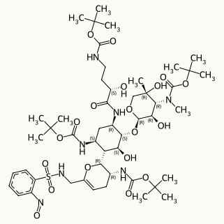 CN(C(=O)OC(C)(C)C)[C@@H]1[C@@H](O)[C@@H](O[C@H]2[C@H](NC(=O)[C@@H](O)CCNC(=O)OC(C)(C)C)C[C@H](NC(=O)OC(C)(C)C)C([C@H]3OC(CNS(=O)(=O)c4ccccc4N=O)=CC[C@H]3NC(=O)OC(C)(C)C)[C@@H]2O)OC[C@]1(C)O